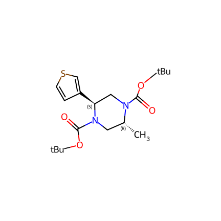 C[C@@H]1CN(C(=O)OC(C)(C)C)[C@@H](c2ccsc2)CN1C(=O)OC(C)(C)C